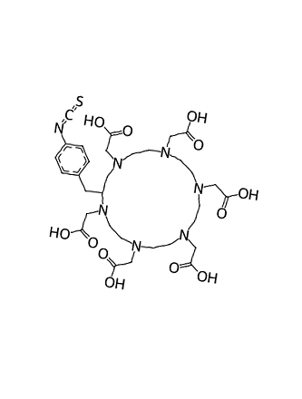 O=C(O)CN1CCN(CC(=O)O)CCN(CC(=O)O)CCN(CC(=O)O)C(Cc2ccc(N=C=S)cc2)CN(CC(=O)O)CCN(CC(=O)O)CC1